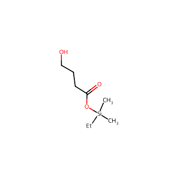 CC[Si](C)(C)OC(=O)CCCO